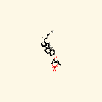 CC(C)CCC[C@@H](C)[C@H]1CC[C@H]2[C@@H]3CC=C4C[C@@H](OCC5(C)C(C)(C)OC(=O)OC5(C)C)CC[C@]4(C)[C@H]3CC[C@]12C